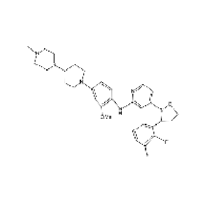 COc1cc(N2CCC(N3CCN(C)CC3)CC2)ccc1Nc1cc(N2OCCC2c2cccc(F)c2F)ncn1